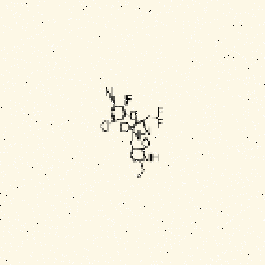 CCc1ccc(Cn2cnc(CC(F)F)c(Oc3cc(Cl)cc(C#N)c3F)c2=O)c(=O)[nH]1